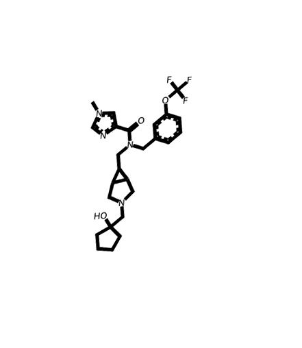 Cn1cnc(C(=O)N(Cc2cccc(OC(F)(F)F)c2)CC2C3CN(CC4(O)CCCC4)CC32)c1